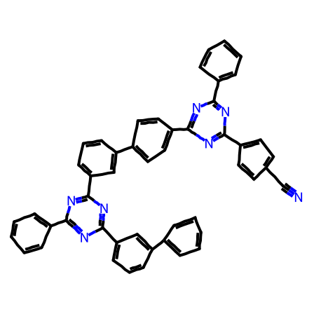 N#Cc1ccc(-c2nc(-c3ccccc3)nc(-c3ccc(-c4cccc(-c5nc(-c6ccccc6)nc(-c6cccc(-c7ccccc7)c6)n5)c4)cc3)n2)cc1